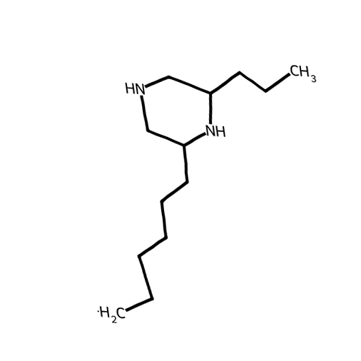 [CH2]CCCCCC1CNCC(CCC)N1